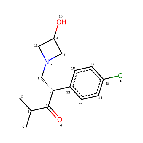 CC(C)C(=O)[C@H](CN1CC(O)C1)c1ccc(Cl)cc1